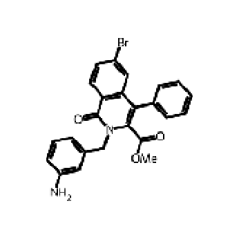 COC(=O)c1c(-c2ccccc2)c2cc(Br)ccc2c(=O)n1Cc1cccc(N)c1